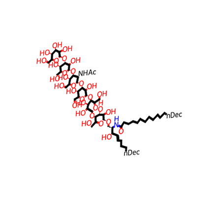 CCCCCCCCCCCCC/C=C/[C@@H](O)[C@H](CO[C@@H]1OC(CO)[C@@H](O[C@@H]2OC(CO)[C@H](O[C@@H]3OC(CO)[C@H](O)[C@H](O[C@@H]4OC(CO)[C@H](O)[C@H](O[C@@H]5OC(CO)[C@H](O)[C@H](O[C@H]6OC(CO)[C@H](O)[C@H](O)C6O)C5O)C4NC(C)=O)C3O)[C@H](O)C2O)[C@H](O)C1O)NC(=O)CCCCCCCCCCCCCCCCCCCCC